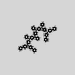 c1ccc(-c2ccc(N(c3ccc(-c4ccccc4)cc3)c3ccc(N(c4ccccc4)c4ccc(N(c5ccccc5)c5ccc(N(c6ccccc6)c6ccc(N(c7ccccc7)c7ccc(N(c8ccc(-c9ccccc9)cc8)c8ccc(-c9ccccc9)cc8)cc7)cc6)cc5)cc4)cc3)cc2)cc1